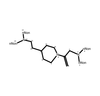 C=C(CN(CCCCCCCCC)CCCCCCCCC)N1CCC(CCN(CCCCCCCCC)CCCCCCCCC)CC1